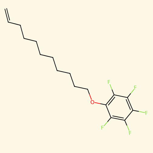 C=CCCCCCCCCCOc1c(F)c(F)c(F)c(F)c1F